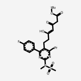 CC(C)c1nc(N(C)S(C)(=O)=O)nc(-c2ccc(F)cc2)c1CCC(O)=CC(=O)CC(=O)OC(C)(C)C